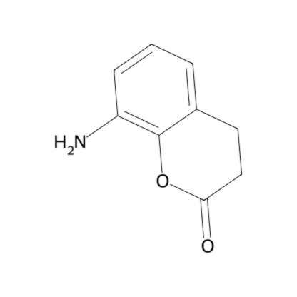 Nc1cccc2c1OC(=O)CC2